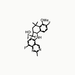 COc1c(F)ccc2c1C(C)(C)C[C@](O)(C(F)(F)C(F)(F)F)[C@@H]2Nc1ccc(F)c2nc(C)ncc12